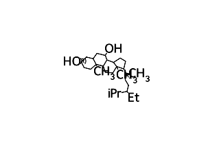 CCC(CC[C@@H](C)C1CCC2C3C(O)CC4C[C@H](O)CCC4(C)C3CCC21C)C(C)C